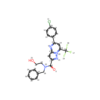 O=C(c1cc2nc(-c3ccc(Cl)cc3)cc(C(F)(F)F)n2n1)N(CCO)Cc1ccccc1